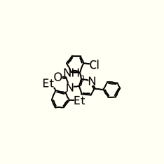 CCc1cccc(CC)c1N(C(N)=O)c1ccc(-c2ccccc2)nc1-c1ccccc1Cl